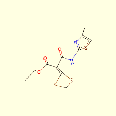 CCOC(=O)C(C(=O)Nc1nc(C)cs1)=C1SCS1